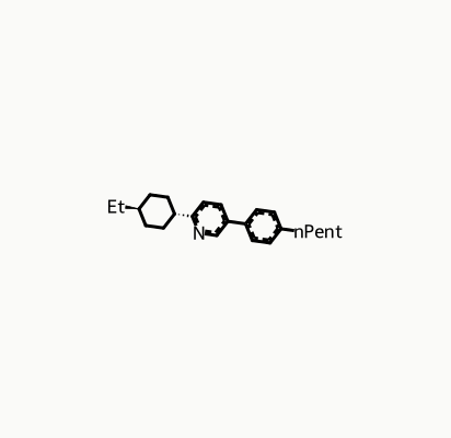 CCCCCc1ccc(-c2ccc([C@H]3CC[C@H](CC)CC3)nc2)cc1